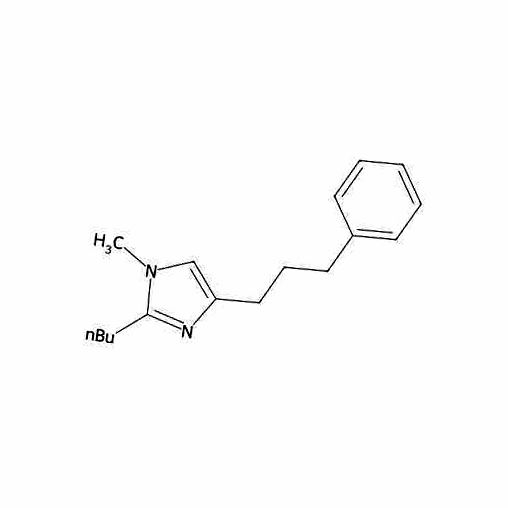 CCCCc1nc(CCCc2ccccc2)cn1C